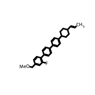 C/C=C/C1CCC(c2ccc(-c3ccc(-c4ccc(COC)cc4F)cc3)cc2)CC1